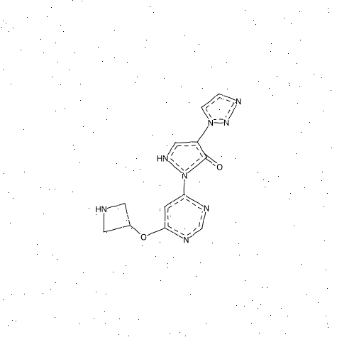 O=c1c(-n2ccnn2)c[nH]n1-c1cc(OC2CNC2)ncn1